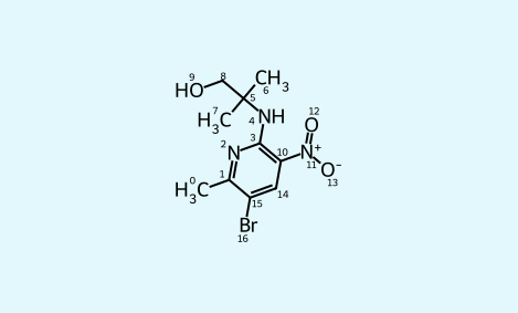 Cc1nc(NC(C)(C)CO)c([N+](=O)[O-])cc1Br